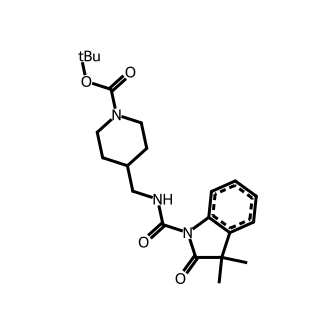 CC(C)(C)OC(=O)N1CCC(CNC(=O)N2C(=O)C(C)(C)c3ccccc32)CC1